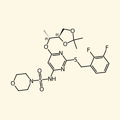 C[C@@H](Oc1cc(NS(=O)(=O)N2CCOCC2)nc(SCc2cccc(F)c2F)n1)[C@H]1COC(C)(C)O1